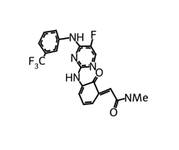 CNC(=O)C=C1C=CC=C(Nc2ncc(F)c(Nc3cccc(C(F)(F)F)c3)n2)C1=O